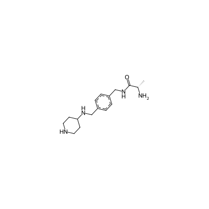 C[C@H](N)C(=O)NCc1ccc(CNC2CCNCC2)cc1